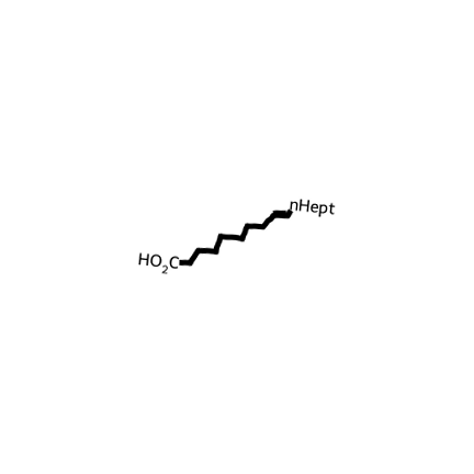 CCCCCCC/C=C/CCCCCCCC(=O)O